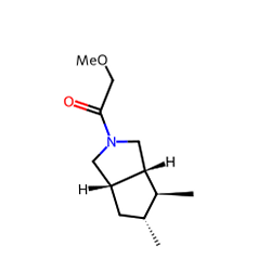 COCC(=O)N1C[C@H]2C[C@@H](C)[C@H](C)[C@H]2C1